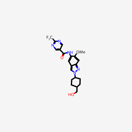 COc1cc2nn(C3CCC(CO)CC3)cc2cc1NC(=O)c1cnc(C(F)(F)F)nc1